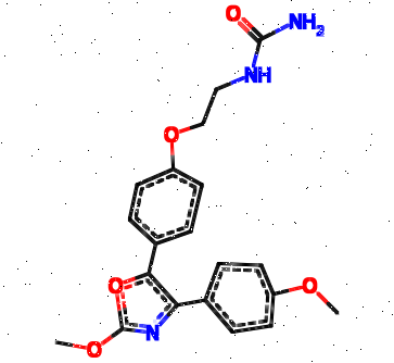 COc1ccc(-c2nc(OC)oc2-c2ccc(OCCNC(N)=O)cc2)cc1